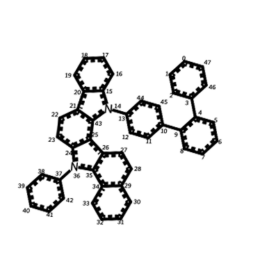 c1ccc(-c2ccccc2-c2ccc(-n3c4ccccc4c4ccc5c(c6ccc7ccccc7c6n5-c5ccccc5)c43)cc2)cc1